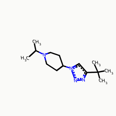 CC(C)N1CCC(n2cc(C(C)(C)C)nn2)CC1